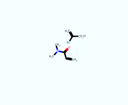 C=C(CC)C(=O)O.C=CC(=O)N(C)C